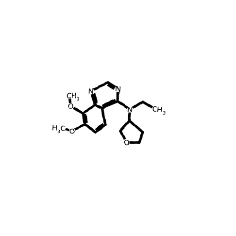 CCN(c1ncnc2c(OC)c(OC)ccc12)C1CCOC1